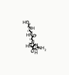 Nc1nc2c(c(=O)[nH]1)NCN2CCC(=O)NCCNCCO